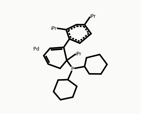 CC(C)c1ccc(C2=CC=CCC2(C(C)C)P(C2CCCCC2)C2CCCCC2)c(C(C)C)c1.[Pd]